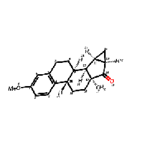 COc1ccc2c(c1)CC[C@H]1[C@H]3[C@H]4C[C@H]4C(=O)[C@@]3(C)CC[C@H]21